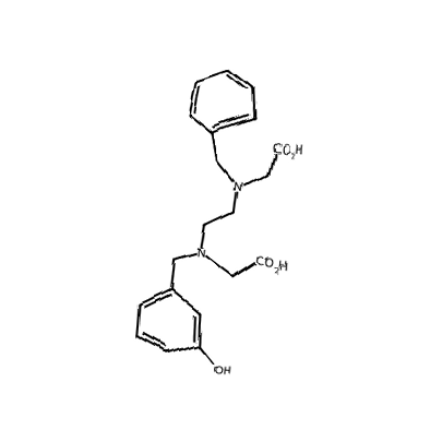 O=C(O)CN(CCN(CC(=O)O)Cc1cccc(O)c1)Cc1ccccc1